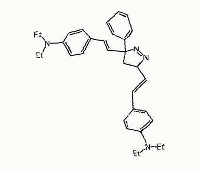 CCN(CC)c1ccc(C=CC2CC(C=Cc3ccc(N(CC)CC)cc3)(c3ccccc3)N=N2)cc1